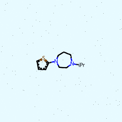 CC(C)N1CCCN(c2cccs2)CC1